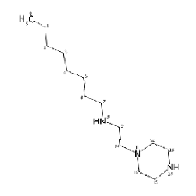 CCCCCCCCNCCN1CCNCC1